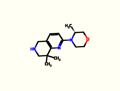 C[C@@H]1COCCN1c1ccc2c(n1)C(C)(C)CNC2